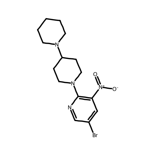 O=[N+]([O-])c1cc(Br)cnc1N1CCC(N2CCCCC2)CC1